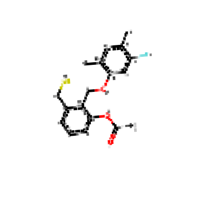 CCC(=O)Oc1cccc(CS)c1COc1cc(F)c(C)cc1C